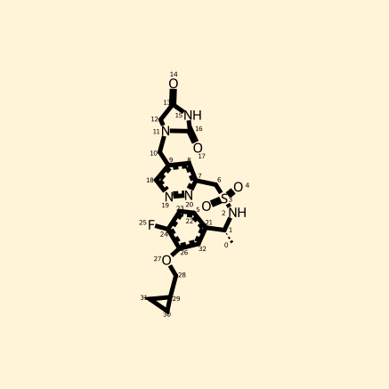 C[C@@H](NS(=O)(=O)Cc1cc(CN2CC(=O)NC2=O)cnn1)c1ccc(F)c(OCC2CC2)c1